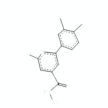 CC(C)(C)NC(=O)c1cc(Br)nc(-c2ccc(Cl)c(F)c2)c1